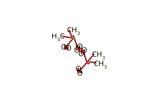 CCCCCCCCC1C(CCCCCC)CCC(CCCCCCCCN2C(=O)C3CC4C(=O)N(CCCCCCCCC5C(CCCCCCCCN6C(=O)C=CC6=O)CCC(CCCCCC)C5CCCCCCCC)C(=O)C4CC3C2=O)C1CCCCCCCCN1C(=O)C=CC1=O